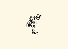 CC(C)N1CCC(c2cc3[nH]c(C(=O)c4cnn(-c5ccc(Oc6cccc(F)c6F)cc5F)c4N)cc3cc2F)CC1